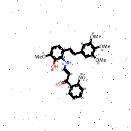 COc1ccc(C=Cc2cc(OC)c(OC)c(OC)c2)c(NC=CC(=O)c2ccccc2[N+](=O)[O-])c1O